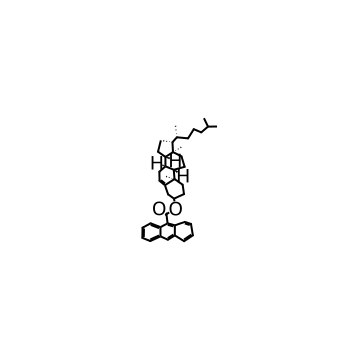 CC(C)CCC[C@@H](C)[C@H]1CC[C@H]2[C@@H]3CC=C4CC(OC(=O)c5c6ccccc6cc6ccccc56)CC[C@]4(C)[C@H]3CC[C@]12C